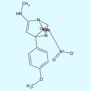 CNC1=CC2(c3ccc(OC)cc3)N=CN1C21C=C([N+](=O)[O-])C=CC1